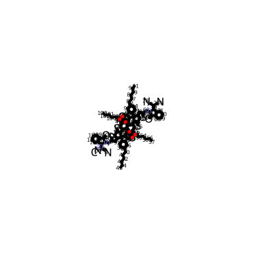 [C-]#[N+]/C(C#N)=C1/C(=C/c2cc3c(s2)-c2sc4c5nonc5c5c6c7c(sc6c6nsnc6c5c4c2C3(c2ccc(CCCCCC)cc2)c2ccc(CCCCCC)cc2)-c2sc(/C=C3\C(=O)c4ccccc4C3=C(C#N)C#N)cc2C7(c2ccc(CCCCCC)cc2)c2ccc(CCCCCC)cc2)C(=O)c2ccccc21